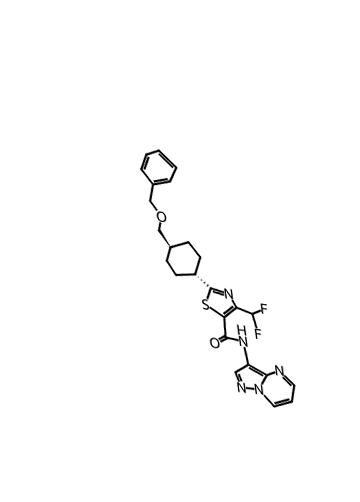 O=C(Nc1cnn2cccnc12)c1sc([C@H]2CC[C@H](COCc3ccccc3)CC2)nc1C(F)F